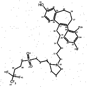 O=S(=O)(CCC[C@@H]1CCCN1CCCCCCC1=C(c2ccc(F)cc2F)CCCc2cc(O)ccc21)CCCC(F)(F)C(F)(F)F